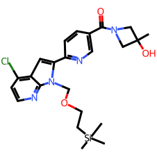 CC1(O)CN(C(=O)c2ccc(-c3cc4c(Cl)ccnc4n3COCC[Si](C)(C)C)nc2)C1